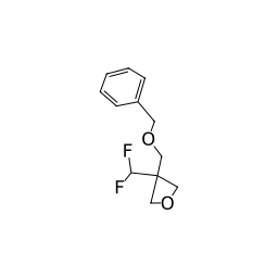 FC(F)C1(COCc2ccccc2)COC1